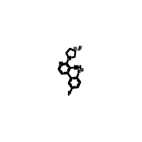 Nc1c(-c2cc(F)ccc2F)ccnc1N1CC[C@H](F)C1